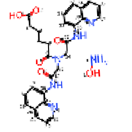 NO.O=C(O)CCCCC(=O)N(CC(=O)Nc1cccc2cccnc12)CC(=O)Nc1cccc2cccnc12